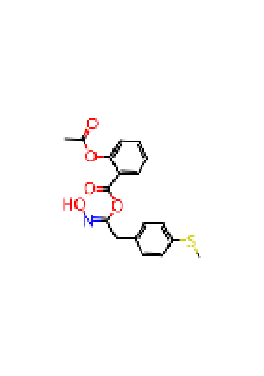 CSc1ccc(CC(=NO)OC(=O)c2ccccc2OC(C)=O)cc1